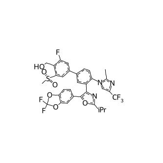 Cc1nc(C(F)(F)F)cn1-c1ccc(-c2cc(F)c(CO)c(S(C)(=O)=O)c2)cc1-c1nc(C(C)C)oc1-c1ccc2c(c1)OC(F)(F)O2